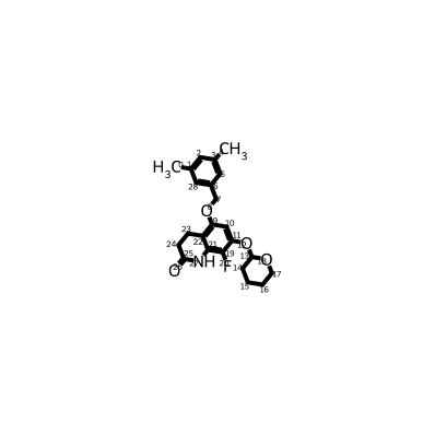 Cc1cc(C)cc(COc2cc(OC3CCCCO3)c(F)c3c2CCC(=O)N3)c1